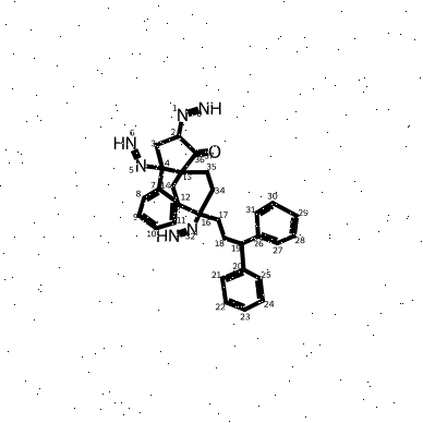 N=NC1CC(N=N)(c2ccccc2)C2(CCC(CCC(c3ccccc3)c3ccccc3)(N=N)CC2)C1=O